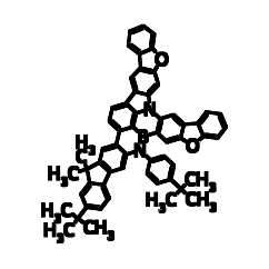 CC(C)(C)c1ccc(N2B3c4cc5oc6ccccc6c5cc4-n4c5cc6oc7ccccc7c6cc5c5ccc(c3c54)-c3cc4c(cc32)-c2ccc(C(C)(C)C)cc2C4(C)C)cc1